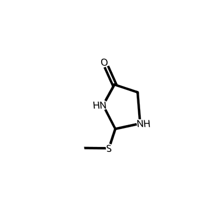 CSC1NCC(=O)N1